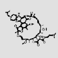 CO[C@H]1/C=C/O[C@@]2(C)Oc3c(C)c(O)c4c(c3C2=O)C2=NC3(CCN(CC(C)I)CC3)NC2=C(NC(=O)/C(C)=C\C=C\[C@H](C)[C@H](O)[C@@H](C)[C@@H](O)[C@@H](C)[C@H](OC(=O)CC(=O)OCCN(C)C)[C@@H]1C)C4=O